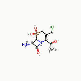 COC(=O)C1=C(CCl)CS(=O)(=O)C2C(N)C(=O)N12